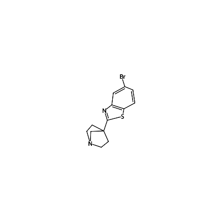 Brc1ccc2sc(C34CCN(CC3)C4)nc2c1